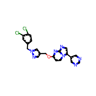 Clc1ccc(Cn2cc(COc3ccn4c(-c5cncnc5)cnc4n3)cn2)cc1Cl